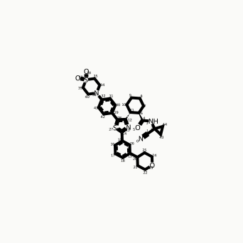 N#CC1(NC(=O)[C@@H]2CCCC[C@H]2c2nc(-c3cccc(C4CCOCC4)c3)sc2-c2ccc(N3CCS(=O)(=O)CC3)cc2)CC1